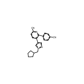 N#Cc1ccc(-c2nc(C#N)ccc2-c2cnn(CC3CCCC3)c2)cc1